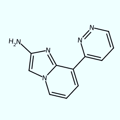 Nc1cn2cccc(-c3cccnn3)c2n1